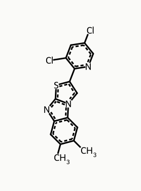 Cc1cc2nc3sc(-c4ncc(Cl)cc4Cl)cn3c2cc1C